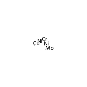 [Cr].[Cu].[Mo].[Ni].[Ni]